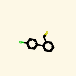 S=Cc1ccccc1-c1ccc(Cl)cc1